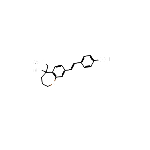 CCCC1(COC)CCCSc2cc(/C=C/c3ccc(C(=O)O)cc3)ccc21